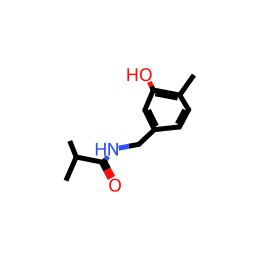 Cc1ccc(CNC(=O)C(C)C)cc1O